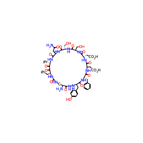 CC(C)C[C@@H]1NC(=O)NCC(N)C(=O)NNC(Cc2ccc(O)cc2)C(=O)N[C@@H](Cc2ccccc2)C(=O)NC(CC(=O)O)C(=O)N[C@@H](CC(=O)O)C(=O)NC(CO)C(=O)N[C@@H](CO)C(=O)NC(CC(N)=O)C(=O)N[C@@H](C(C)C)C(=O)C1=O